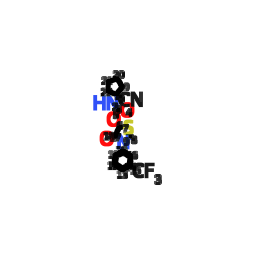 N#CC1(NC(=O)OC2SCN(c3cccc(C(F)(F)F)c3)C2=O)CCCC1